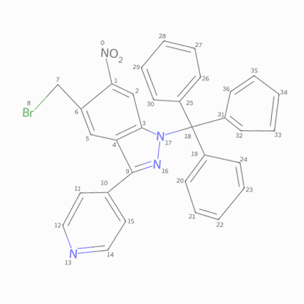 O=[N+]([O-])c1cc2c(cc1CBr)c(-c1ccncc1)nn2C(c1ccccc1)(c1ccccc1)c1ccccc1